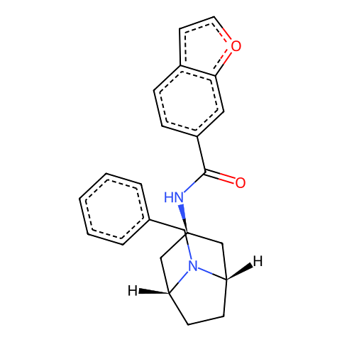 O=C(N[C@@H]1C[C@H]2CC[C@@H](C1)N2Cc1ccccc1)c1ccc2ccoc2c1